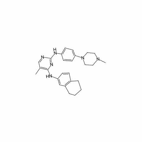 Cc1cnc(Nc2ccc(N3CCN(C)CC3)cc2)nc1Nc1ccc2c(c1)CCCC2